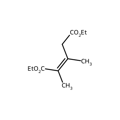 CCOC(=O)C/C(C)=C(/C)C(=O)OCC